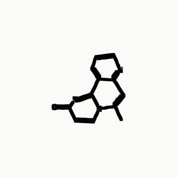 Cc1cc2ncccc2c2nc(=O)ccn12